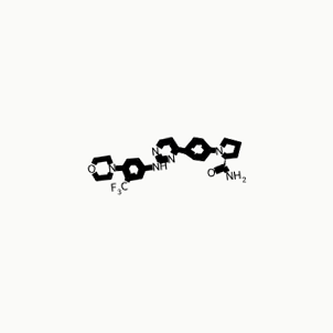 NC(=O)[C@H]1CCCN1c1ccc(-c2ccnc(Nc3ccc(N4CCOCC4)c(C(F)(F)F)c3)n2)cc1